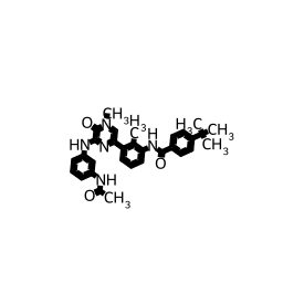 CC(=O)Nc1cccc(Nc2nc(-c3cccc(NC(=O)c4ccc(C(C)(C)C)cc4)c3C)cn(C)c2=O)c1